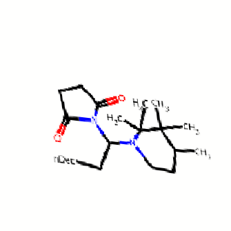 CCCCCCCCCCCC(N1C(=O)CCC1=O)N1CCC(C)C(C)(C)C1(C)C